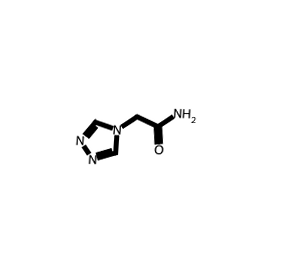 NC(=O)Cn1[c]nnc1